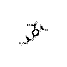 CSC(=S)O[C@@H]1C[C@@H](C(=O)O)N(C(=O)O)C1